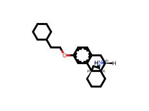 c1cc2c(cc1OCCC1CCCCC1)[C@@]13CCCC[C@H]1[C@@H](C2)NCC3